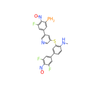 CNc1ccc(-c2cc(F)c(N=O)c(F)c2)cc1Sc1cncc(-c2cc(F)c(N=O)c(P)c2)c1